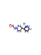 O=CCN1CCC(c2cccnc2F)CC1